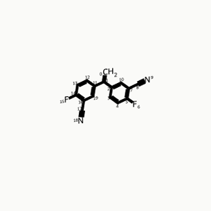 C=C(c1ccc(F)c(C#N)c1)c1ccc(F)c(C#N)c1